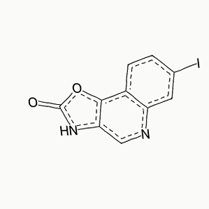 O=c1[nH]c2cnc3cc(I)ccc3c2o1